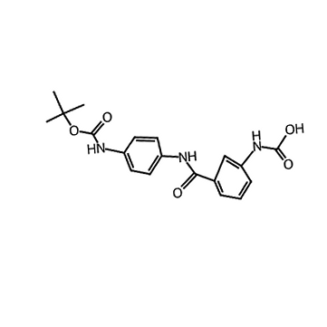 CC(C)(C)OC(=O)Nc1ccc(NC(=O)c2cccc(NC(=O)O)c2)cc1